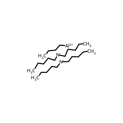 CCCCC[N-]CCCCC.CCCCC[N-]CCCCC.CCC[CH2][Al+2]